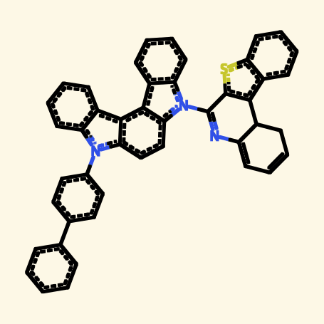 C1=CCC2C(=C1)N=C(n1c3ccccc3c3c4c5ccccc5n(-c5ccc(-c6ccccc6)cc5)c4ccc31)c1sc3ccccc3c12